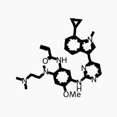 C=CC(=O)Nc1cc(Nc2nccc(-c3cn(C)c4c(C5CC5)cccc34)n2)c(OC)cc1N(C)CCN(C)C